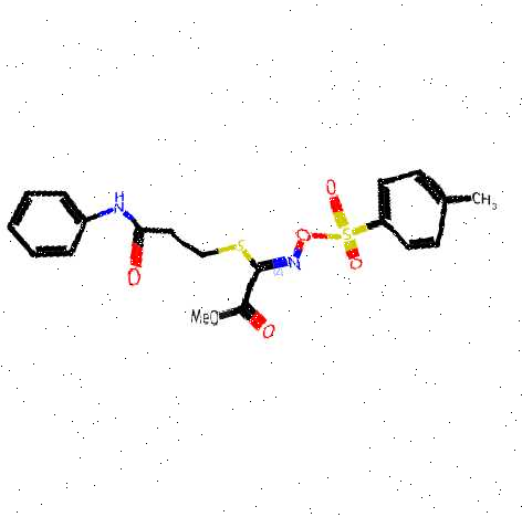 COC(=O)/C(=N/OS(=O)(=O)c1ccc(C)cc1)SCCC(=O)Nc1ccccc1